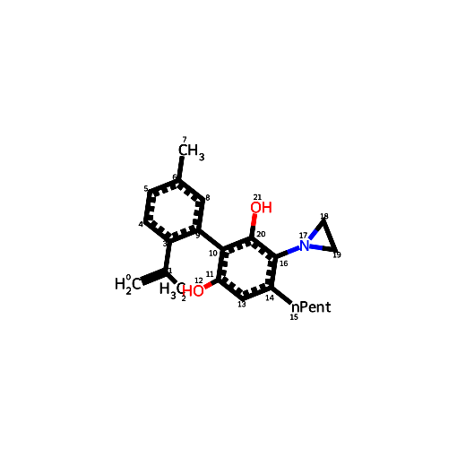 C=C(C)c1ccc(C)cc1-c1c(O)cc(CCCCC)c(N2CC2)c1O